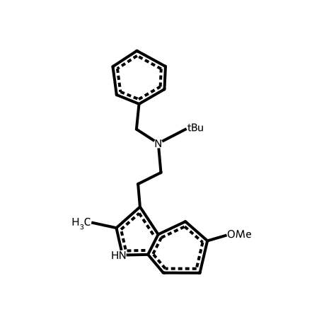 COc1ccc2[nH]c(C)c(CCN(Cc3ccccc3)C(C)(C)C)c2c1